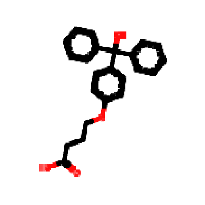 O=C(O)CCCOc1ccc(C(O)(c2ccccc2)c2ccccc2)cc1